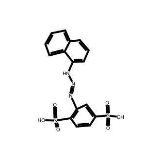 O=S(=O)(O)c1ccc(S(=O)(=O)O)c(N=NNc2cccc3ccccc23)c1